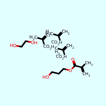 C=C(C)C(=O)O.C=C(C)C(=O)O.C=C(C)C(=O)O.C=C(C)C(=O)OCCCO.OCCO